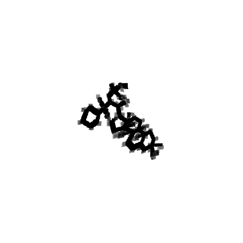 C[C@H](C(CC(C)(O)C(F)(F)F)S(=O)(=O)c1ccccc1)[C@H]1CC[C@H]2[C@@H]3CC=C4C[C@@](C)(O)CC[C@@H]4[C@H]3CC[C@]12C